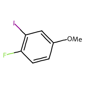 COc1ccc(F)c(I)c1